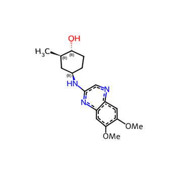 COc1cc2ncc(N[C@@H]3CC[C@@H](O)[C@H](C)C3)nc2cc1OC